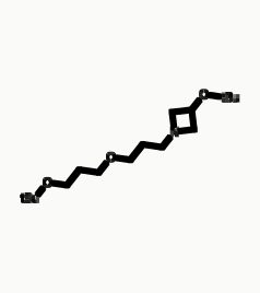 CC(C)(C)OCCCOCCCN1CC(OC(C)(C)C)C1